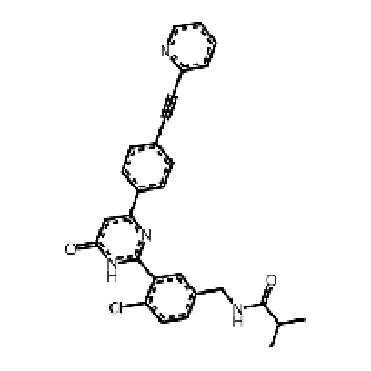 CC(C)C(=O)NCc1ccc(Cl)c(-c2nc(-c3ccc(C#Cc4ccccn4)cc3)cc(=O)[nH]2)c1